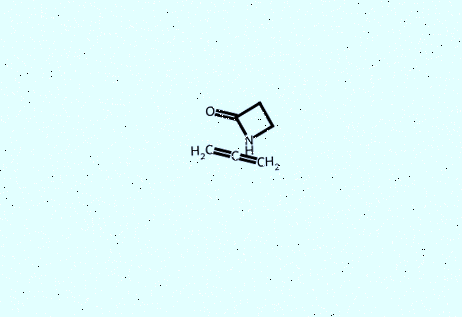 C=C=C.O=C1CCN1